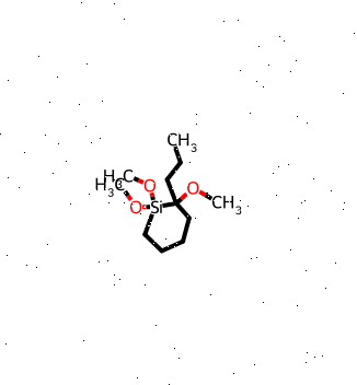 CCCC1(OC)CCCC[Si]1(OC)OC